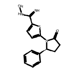 N=C(NO)c1ccc(N2C(=O)CC[C@H]2c2ccccc2)s1